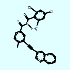 Cc1ccc(C(=O)N(N)C(=O)c2c(Cl)cc(Cl)cc2Cl)cc1C#Cc1cnc2ccccc2c1